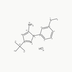 CSc1cccc(-n2nc(C(C)(C)C)cc2N)c1.Cl